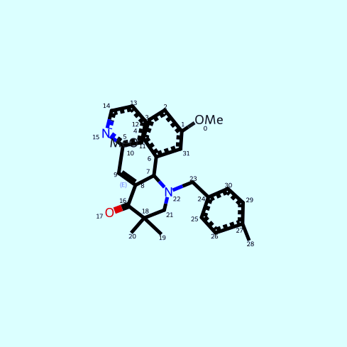 COc1ccc(OC)c(C2/C(=C\c3ccccn3)C(=O)C(C)(C)CN2Cc2ccc(C)cc2)c1